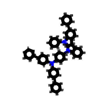 c1ccc(-c2ccc(N(c3ccc(-c4ccccc4)cc3)c3ccc(-n4c5ccccc5c5c6ccc(-c7ccccc7)cc6n(-c6ccccc6)c54)cc3)cc2)cc1